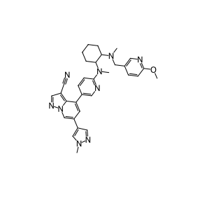 COc1ccc(CN(C)C2CCCCC2N(C)c2ccc(-c3cc(-c4cnn(C)c4)cn4ncc(C#N)c34)cn2)cn1